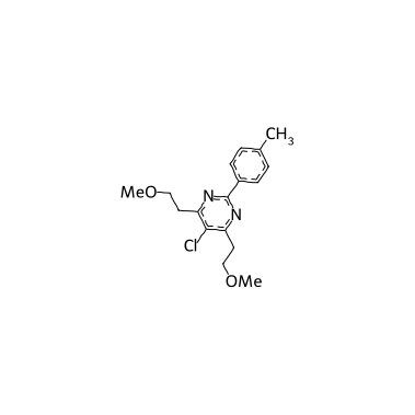 COCCc1nc(-c2ccc(C)cc2)nc(CCOC)c1Cl